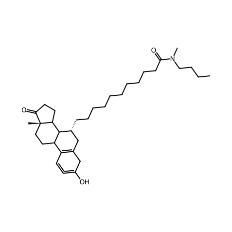 CCCCN(C)C(=O)CCCCCCCCCC[C@@H]1CC2=C(C=C=C(O)C2)C2CC[C@]3(C)C(=O)CCC3C21